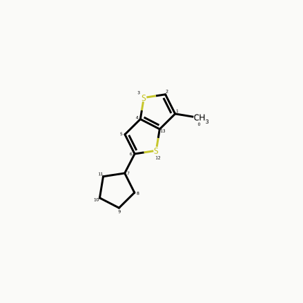 Cc1csc2cc(C3CCCC3)sc12